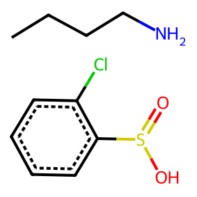 CCCCN.O=S(O)c1ccccc1Cl